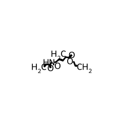 C=CCOC(=O)C(=C)C=CC(=O)NC(=O)C=C